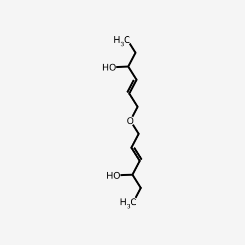 CCC(O)/C=C/COC/C=C/C(O)CC